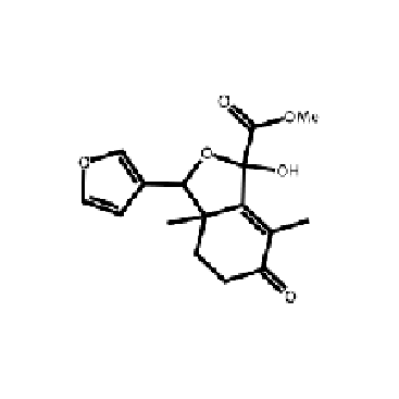 COC(=O)C1(O)OC(c2ccoc2)C2(C)CCC(=O)C(C)=C12